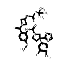 COc1ccc(C(=O)N2CC(NC(=O)OC(C)(C)C)C2)c(NC(=O)N2CC[C@@](c3ccc(C)c(F)c3)(c3ncns3)C2)c1